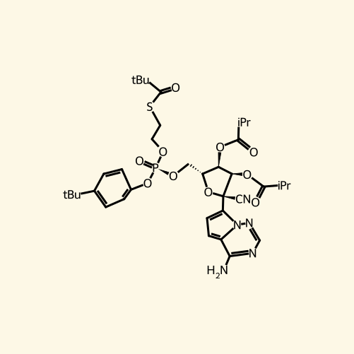 CC(C)C(=O)O[C@H]1[C@@H](OC(=O)C(C)C)[C@](C#N)(c2ccc3c(N)ncnn23)O[C@@H]1CO[P@@](=O)(OCCSC(=O)C(C)(C)C)Oc1ccc(C(C)(C)C)cc1